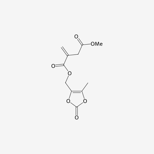 C=C(CC(=O)OC)C(=O)OCc1oc(=O)oc1C